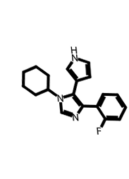 Fc1ccccc1-c1ncn(C2CCCCC2)c1-c1cc[nH]c1